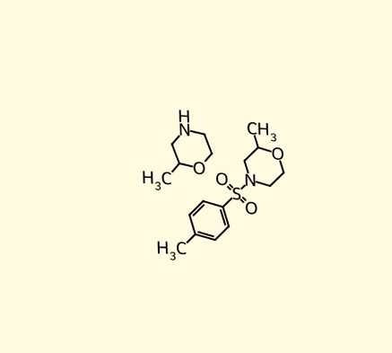 CC1CNCCO1.Cc1ccc(S(=O)(=O)N2CCOC(C)C2)cc1